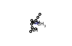 C/N=C(\C=C/Nn1c2ccccc2c2ccc(-c3ccc(Nc4ccccc4)c(-c4ccccc4)c3)cc21)c1cccc(-c2ccc(-c3ccccc3)cc2)c1